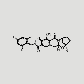 O=C(NCc1c(F)cc(F)cc1F)c1cn2c(c(O)c1=O)C(=O)N1C3CC[C@H](C3)O[C@@H]1C2